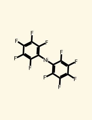 Fc1c(F)c(F)[c]([Ni][c]2c(F)c(F)c(F)c(F)c2F)c(F)c1F